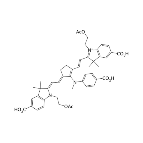 CC(=O)OCCN1/C(=C\C=C2/CCC(/C=C/C3=[N+](CCOC(C)=O)c4ccc(C(=O)O)cc4C3(C)C)=C2N(C)c2ccc(C(=O)O)cc2)C(C)(C)c2cc(C(=O)O)ccc21